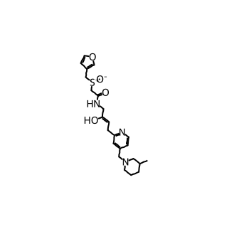 CC1CCCN(Cc2ccnc(CC=C(O)CNC(=O)C[S+]([O-])Cc3ccoc3)c2)C1